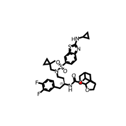 CC1(CN(CC[C@H](Cc2ccc(F)c(F)c2)NC(=O)OC2C3COC4OCC2C4C3)S(=O)(=O)c2ccc3nc(NC4CC4)sc3c2)CC1